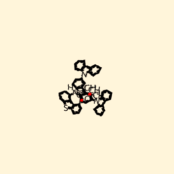 CC1(C)OB(c2cccc3sc4cccc(-n5c6ccc(-n7c8ccccc8c8ccccc87)cc6c6cc(-n7c8ccccc8c8ccccc87)ccc65)c4c23)OC1(C)C